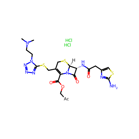 CC(=O)COC(=O)C1=C(CSc2nnnn2CCN(C)C)CS[C@H]2[C@H](NC(=O)Cc3csc(N)n3)C(=O)N12.Cl.Cl